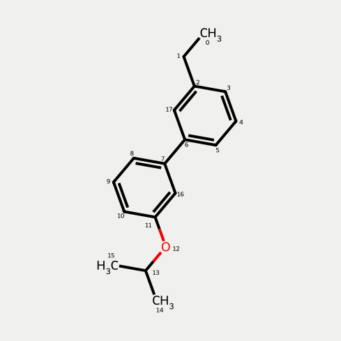 CCc1cccc(-c2cccc(OC(C)C)c2)c1